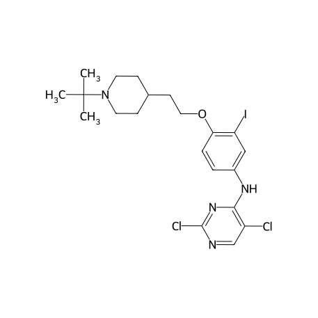 CC(C)(C)N1CCC(CCOc2ccc(Nc3nc(Cl)ncc3Cl)cc2I)CC1